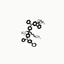 CCCCCC(CC)(c1ccc(N(c2ccccc2)c2ccc(C3CCCCC3)cc2)cc1)c1ccc(N(c2ccccc2)c2ccc3c(c2)-c2ccccc2C3(C)C)cc1